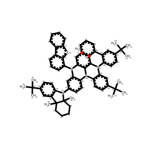 Cc1cc2c3c(c1)N(c1cccc4c1sc1ccccc14)c1cc(N4c5ccc(C(C)(C)C)cc5C5(C)CCCCC45C)ccc1B3c1ccc(C(C)(C)C)cc1N2c1ccc(C(C)(C)C)cc1-c1ccccc1